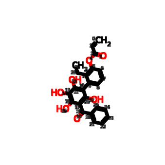 C=CC(=O)Oc1cccc(-c2c(O)c(O)c(O)c(C(=O)c3ccccc3)c2O)c1CC